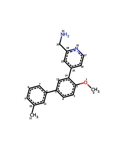 COc1ccc(-c2cccc(C)c2)cc1-c1ccnc(CN)c1